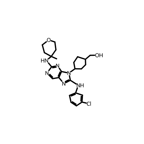 CC1(Nc2ncc3nc(Nc4cccc(Cl)c4)n(C4CCC(CO)CC4)c3n2)CCOCC1